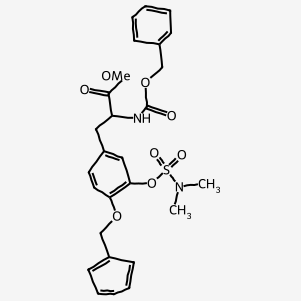 COC(=O)C(Cc1ccc(OCc2ccccc2)c(OS(=O)(=O)N(C)C)c1)NC(=O)OCc1ccccc1